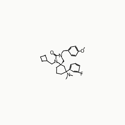 COc1ccc(CN2C[C@@]3(CCC[C@@](c4cccc(F)c4)(N(C)C)C3)N(CC3CCC3)C2=O)cc1